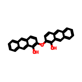 Oc1c(Oc2ccc3cc4ccccc4cc3c2O)ccc2cc3ccccc3cc12